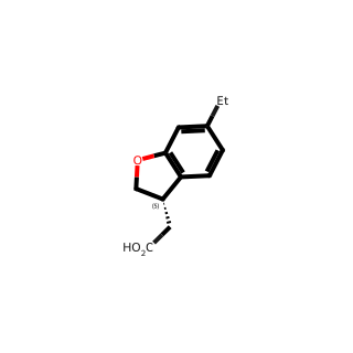 CCc1ccc2c(c1)OC[C@H]2CC(=O)O